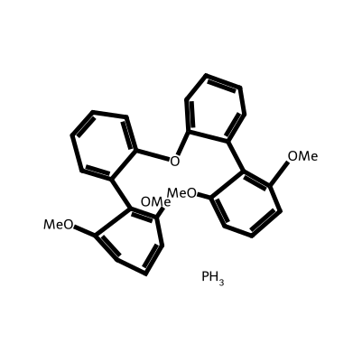 COc1cccc(OC)c1-c1ccccc1Oc1ccccc1-c1c(OC)cccc1OC.P